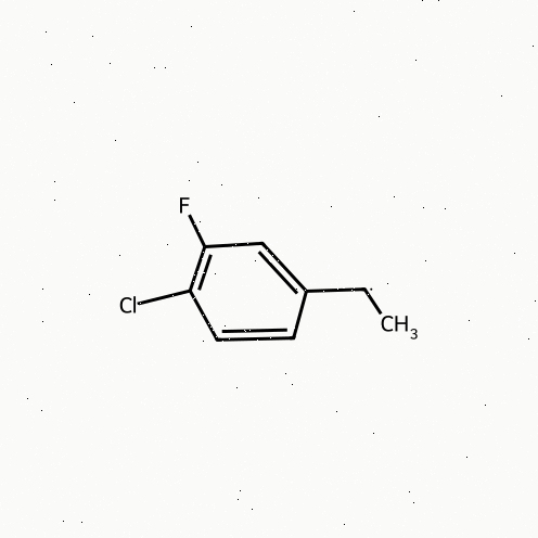 C[CH]c1ccc(Cl)c(F)c1